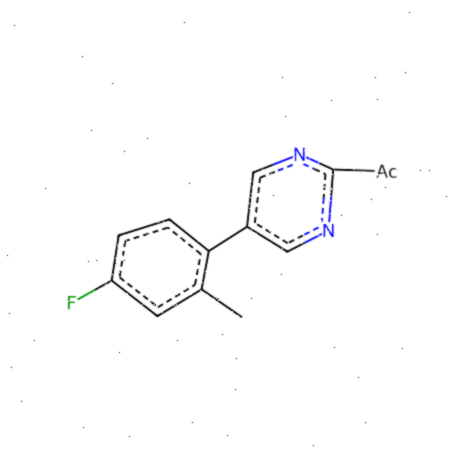 CC(=O)c1ncc(-c2ccc(F)cc2C)cn1